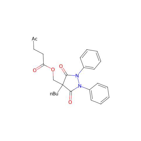 CCCCC1(COC(=O)CCC(C)=O)C(=O)N(c2ccccc2)N(c2ccccc2)C1=O